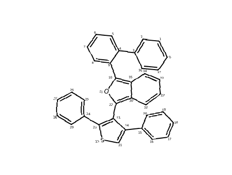 c1ccc(-c2ccccc2-c2oc(-c3c(-c4ccccc4)csc3-c3ccccc3)c3ccccc23)cc1